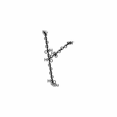 CC(C)(C)OC(=O)NCCOCCOCCOCCOCCC(=O)NC(COCCC(=O)NCCOCCOCCOCCN=[N+]=[N-])COCCC(=O)NCCOCCOCCOCCN=[N+]=[N-]